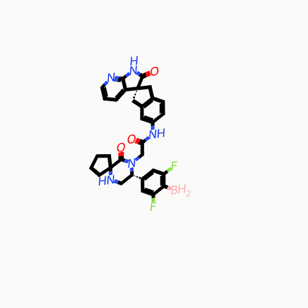 Bc1c(F)cc([C@@H]2CNC3(CCCC3)C(=O)N2CC(=O)Nc2ccc3c(c2)C[C@@]2(C3)C(=O)Nc3ncccc32)cc1F